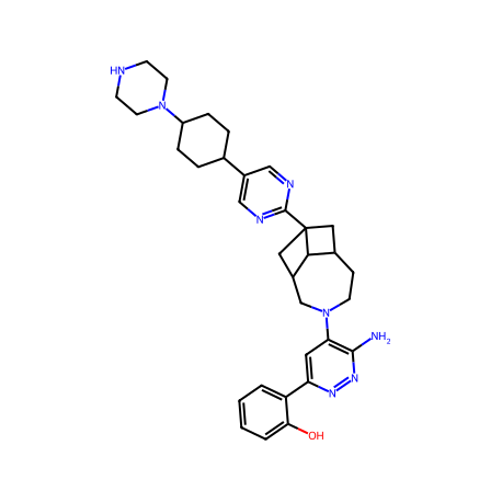 Nc1nnc(-c2ccccc2O)cc1N1CCC2CC3(c4ncc(C5CCC(N6CCNCC6)CC5)cn4)CC(C1)C23